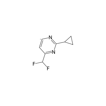 FC(F)c1c[c]nc(C2CC2)n1